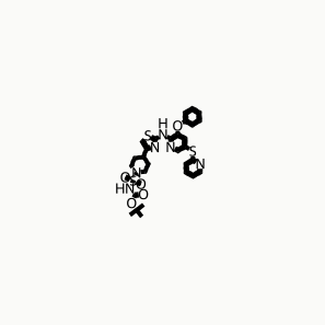 CC(C)(C)OC(=O)NS(=O)(=O)N1CCC(c2csc(Nc3ncc(Sc4ccccn4)cc3Oc3ccccc3)n2)CC1